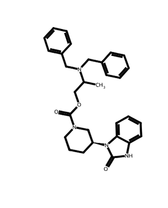 CC(COC(=O)N1CCC[C@H](n2c(=O)[nH]c3ccccc32)C1)N(Cc1ccccc1)Cc1ccccc1